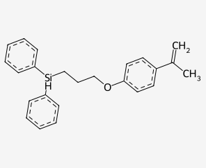 C=C(C)c1ccc(OCCC[SiH](c2ccccc2)c2ccccc2)cc1